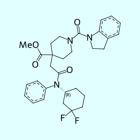 COC(=O)C1(CC(=O)N(c2ccccc2)[C@@H]2CCCC(F)(F)C2)CCN(C(=O)N2CCc3ccccc32)CC1